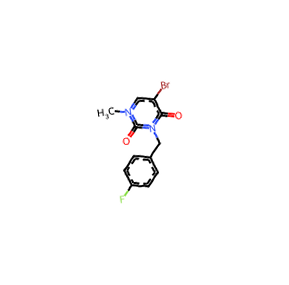 Cn1cc(Br)c(=O)n(Cc2ccc(F)cc2)c1=O